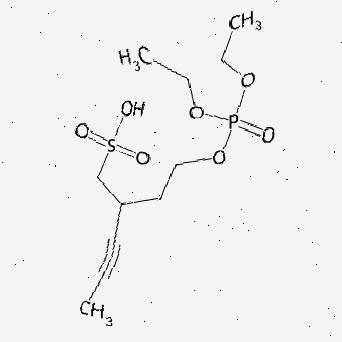 CC#CC(CCOP(=O)(OCC)OCC)CS(=O)(=O)O